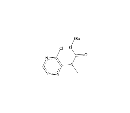 CN(C(=O)OC(C)(C)C)c1nccnc1Cl